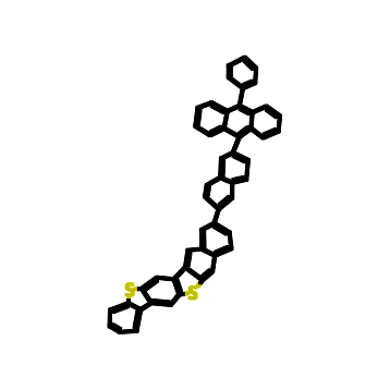 c1ccc(-c2c3ccccc3c(-c3ccc4cc(-c5ccc6cc7sc8cc9c(cc8c7cc6c5)sc5ccccc59)ccc4c3)c3ccccc23)cc1